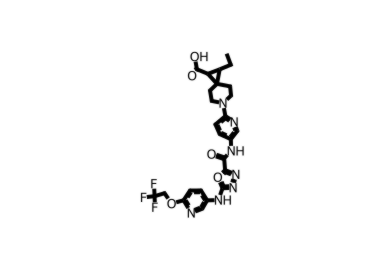 CCC1C(C(=O)O)C12CCN(c1ccc(NC(=O)c3nnc(Nc4ccc(OCC(F)(F)F)nc4)o3)cn1)CC2